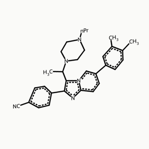 CCCN1CCN(C(C)c2c(-c3ccc(C#N)cc3)nc3ccc(-c4ccc(C)c(C)c4)cn23)CC1